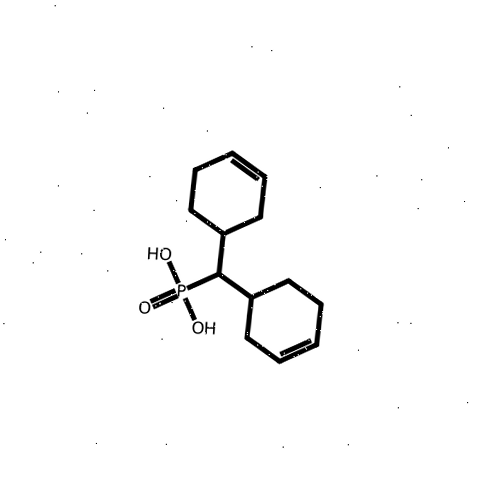 O=P(O)(O)C(C1CC=CCC1)C1CC=CCC1